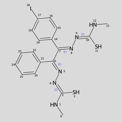 CN/C(S)=N/N=C(/C(=N/N=C(\S)NC)c1ccc(I)cc1)c1ccccc1